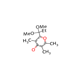 CCC(OC)(OC)c1oc(C)c(C)c(=O)c1C